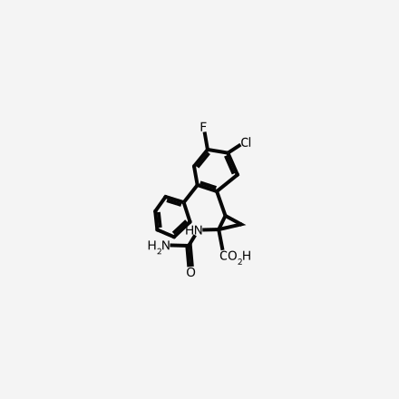 NC(=O)NC1(C(=O)O)CC1c1cc(Cl)c(F)cc1-c1ccccc1